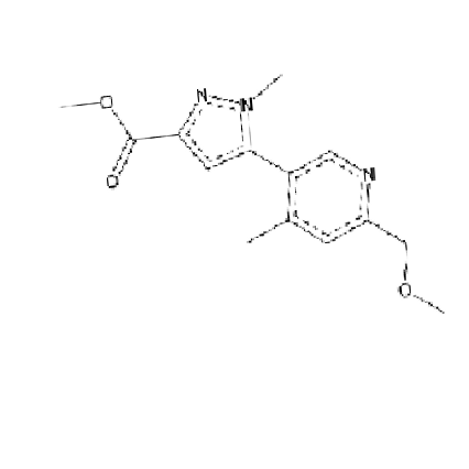 COCc1cc(C)c(-c2cc(C(=O)OC)nn2C)cn1